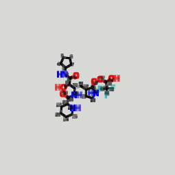 O=C(NC1CCCC1)C(O)[C@H](C[C@@H]1CCNC1=O)NC(=O)[C@@H]1CCCCN1.O=C(O)C(F)(F)F